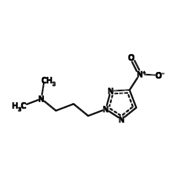 CN(C)CCCn1ncc([N+](=O)[O-])n1